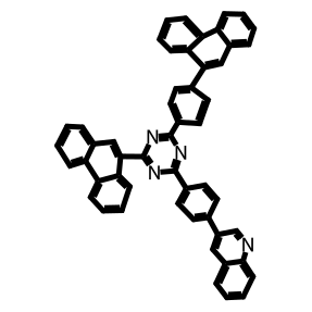 c1ccc2ncc(-c3ccc(-c4nc(-c5ccc(-c6cc7ccccc7c7ccccc67)cc5)nc(-c5cc6ccccc6c6ccccc56)n4)cc3)cc2c1